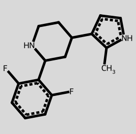 Cc1[nH]ccc1C1CCNC(c2c(F)cccc2F)C1